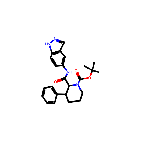 CC(C)(C)OC(=O)N1CCCC(c2ccccc2)C1C(=O)Nc1ccc2[nH]ncc2c1